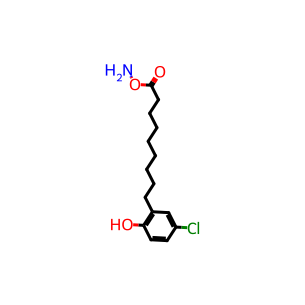 NOC(=O)CCCCCCCCc1cc(Cl)ccc1O